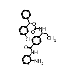 CC[C@H](NC(=O)O[C@@H](c1ccccc1)c1cccc(Cl)c1)c1ccc(C(=O)Nc2ccccc2N)cc1